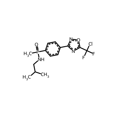 CC(C)CNP(C)(=O)c1ccc(-c2noc(C(F)(F)Cl)n2)cc1